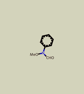 CON(C=O)c1[c]cccc1